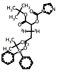 [2H]C([2H])(CCO[Si](c1ccccc1)(c1ccccc1)C(C)(C)C)C(OC(=O)n1ccnc1)C(=O)OC(C)(C)C